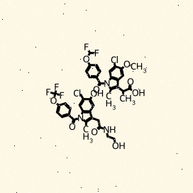 COc1cc2c(C(C)C(=O)O)c(C)n(C(=O)c3ccc(OC(F)F)cc3)c2cc1Cl.Cc1c(CC(=O)NCCO)c2cc(O)c(Cl)cc2n1C(=O)c1ccc(OC(F)(F)F)cc1